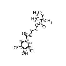 CCC(C)(C)C(=O)OCCOC(=O)c1cc(Cl)c(O)c(Cl)c1